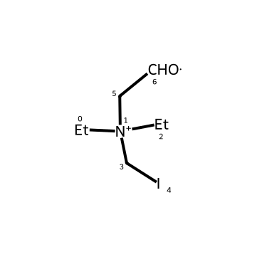 CC[N+](CC)(CI)C[C]=O